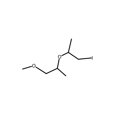 COCC(C)OC(C)CI